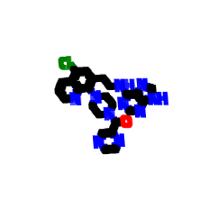 O=C(c1cnccn1)N1CCN(c2c(CCNc3ncnc4[nH]cnc34)cc(Cl)c3cccnc23)CC1